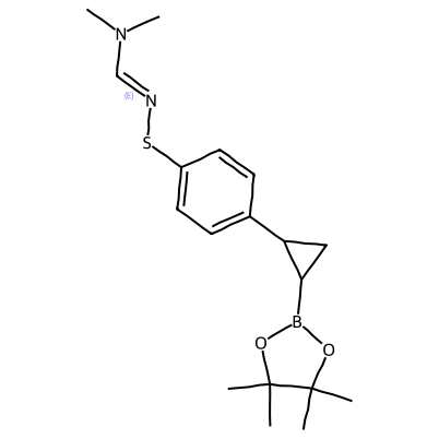 CN(C)/C=N/Sc1ccc(C2CC2B2OC(C)(C)C(C)(C)O2)cc1